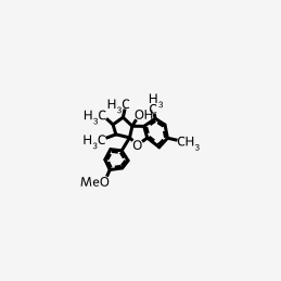 COc1ccc(C23Oc4cc(C)cc(C)c4C2(O)C(C)C(C)C3C)cc1